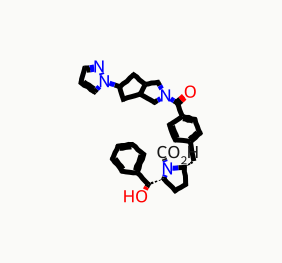 O=C(c1ccc(C[C@@H]2CC[C@H](C(O)c3ccccc3)N2C(=O)O)cc1)N1CC2CC(n3cccn3)CC2C1